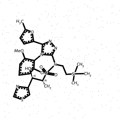 COc1cccc(OC)c1-n1c(-c2ccc(C)o2)nnc1N(CC[Si](C)(C)C)S(=O)(=O)[C@H](C)[C@H](O)c1cscn1